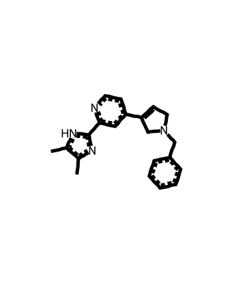 Cc1nc(-c2cc(C3=CCN(Cc4ccccc4)C3)ccn2)[nH]c1C